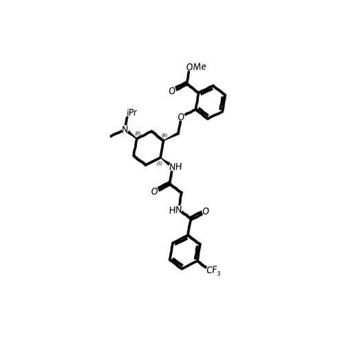 COC(=O)c1ccccc1OC[C@@H]1C[C@H](N(C)C(C)C)CC[C@@H]1NC(=O)CNC(=O)c1cccc(C(F)(F)F)c1